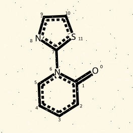 O=c1ccccn1-c1n[c]cs1